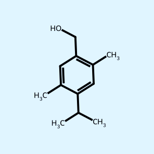 Cc1cc(C(C)C)c(C)cc1CO